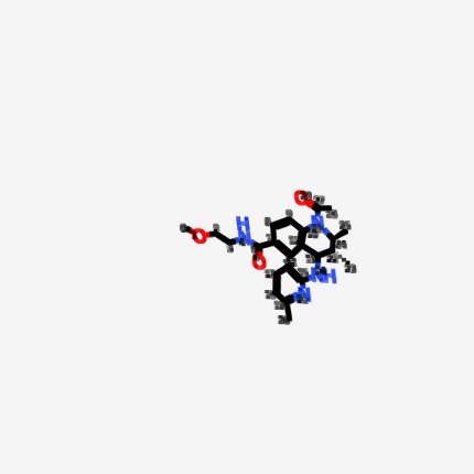 COCCNC(=O)c1ccc2c(c1)C(Nc1cccc(C)n1)[C@@H](C)[C@H](C)N2C(C)=O